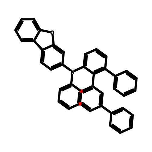 c1ccc(-c2cccc(-c3c(-c4ccccc4)cccc3N(c3ccccc3)c3ccc4c(c3)oc3ccccc34)c2)cc1